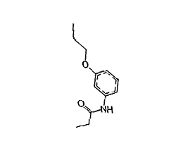 CCCOc1cccc(NC(=O)CC)c1